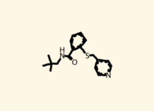 CC(C)(C)CNC(=O)c1ccccc1SCc1ccncc1